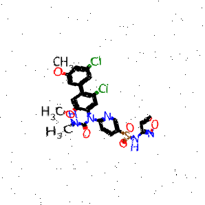 CNC(=O)N(c1ccc(S(=O)(=O)Nc2ccon2)cn1)c1cc(Cl)c(-c2cc(Cl)cc(OC)c2)cc1OC